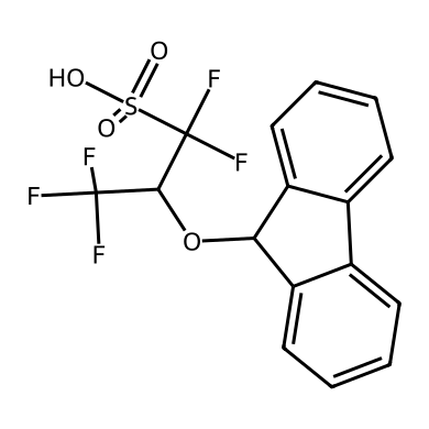 O=S(=O)(O)C(F)(F)C(OC1c2ccccc2-c2ccccc21)C(F)(F)F